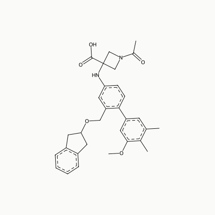 COc1cc(-c2ccc(NC3(C(=O)O)CN(C(C)=O)C3)cc2COC2Cc3ccccc3C2)cc(C)c1C